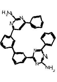 Nc1nc(-c2ccccc2)cc(-c2cccc(-c3cccc(-c4nc(N)nc(-c5ccccc5)n4)c3)c2)n1